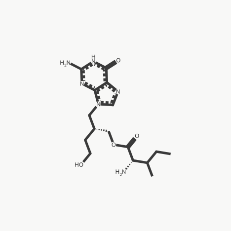 CCC(C)[C@H](N)C(=O)OC[C@H](CCO)Cn1cnc2c(=O)[nH]c(N)nc21